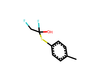 Cc1ccc(SC(O)(F)CF)cc1